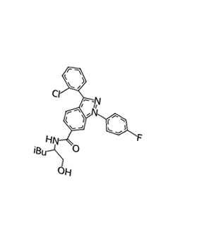 CCC(C)C(CO)NC(=O)c1ccc2c(-c3ccccc3Cl)nn(-c3ccc(F)cc3)c2c1